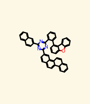 c1ccc(-c2cccc3oc4ccccc4c23)c(-c2nc(-c3ccc4ccccc4c3)nc(-c3ccc4ccc5c6ccccc6ccc5c4c3)n2)c1